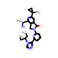 CCC(CC)n1cnnc1-c1cccc(N2Cc3c(cc(C4(C)CC4)nc3[C@@H](C)N)C2=O)n1